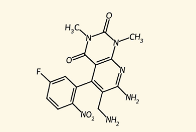 Cn1c(=O)c2c(-c3cc(F)ccc3[N+](=O)[O-])c(CN)c(N)nc2n(C)c1=O